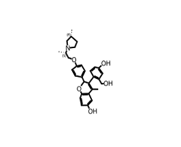 CC1=C(c2ccc(O)cc2CO)C(c2ccc(OC[C@H](C)N3CC[C@@H](C)C3)cc2)Oc2ccc(O)cc21